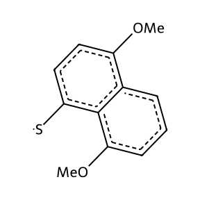 COc1ccc([S])c2c(OC)cccc12